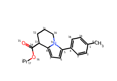 Cc1ccc(-c2ccc3n2CCCC3C(=O)OC(C)C)cc1